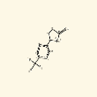 FC(F)(F)c1ccc(C2CCC(=S)N2)cc1